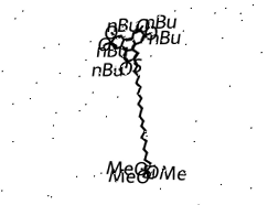 CCCCOc1cc2c3cc(OCCCC)c(OCCCC)cc3c3cc(SCCCCCCCCCCCCCCCCCC[Si](OC)(OC)OC)c(OCCCC)cc3c2cc1OCCCC